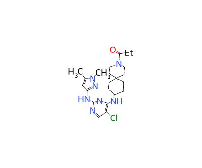 CCC(=O)N1CCC2(CCC(Nc3nc(Nc4cc(C)n(C)n4)ncc3Cl)CC2)CC1